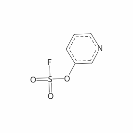 O=S(=O)(F)Oc1cccnc1